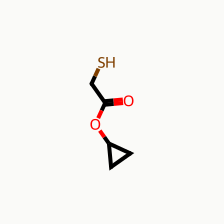 O=C(CS)OC1CC1